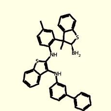 B[C@@H]1Sc2ccccc2C1(C)c1cc(C)ccc1Nc1sc2ccccc2c1Nc1cccc(-c2ccccc2)c1